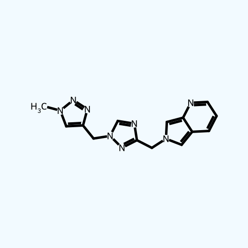 Cn1cc(Cn2cnc(Cn3cc4cccnc4c3)n2)nn1